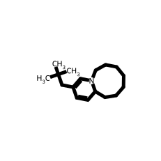 CC(C)(C)CC1=CN2CCCCCCCC2C=C1